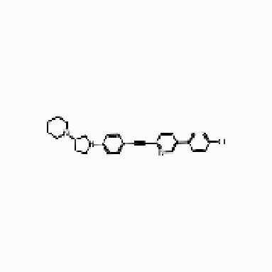 Clc1ccc(-c2ccc(C#Cc3ccc(N4CCC(N5CCCCC5)C4)cc3)nc2)cc1